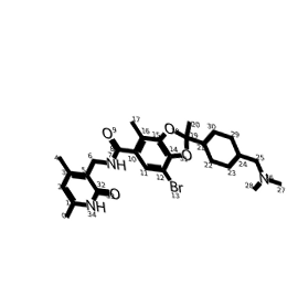 Cc1cc(C)c(CNC(=O)c2cc(Br)c3c(c2C)OC(C)(C2CCC(CN(C)C)CC2)O3)c(=O)[nH]1